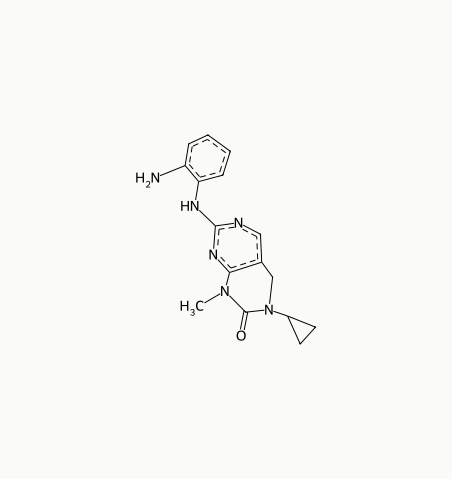 CN1C(=O)N(C2CC2)Cc2cnc(Nc3ccccc3N)nc21